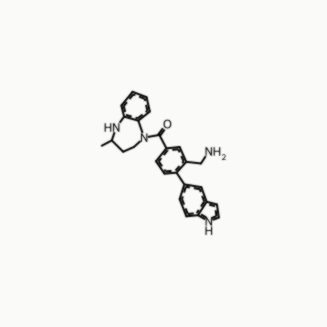 CC1CCN(C(=O)c2ccc(-c3ccc4[nH]ccc4c3)c(CN)c2)c2ccccc2N1